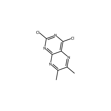 Cc1nc2nc(Cl)nc(Cl)c2nc1C